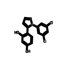 Oc1ccc(-c2ccnn2-c2cc(Cl)cc(Cl)c2)c(O)c1